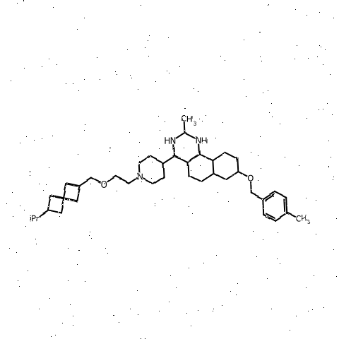 Cc1ccc(COC2CCC3C(CCC4C(C5CCN(CCOCC6CC7(C6)CC(C(C)C)C7)CC5)NC(C)NC34)C2)cc1